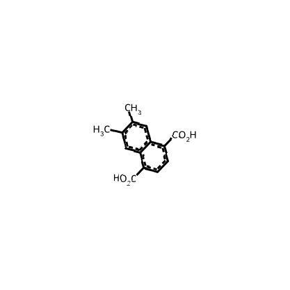 Cc1cc2c(C(=O)O)ccc(C(=O)O)c2cc1C